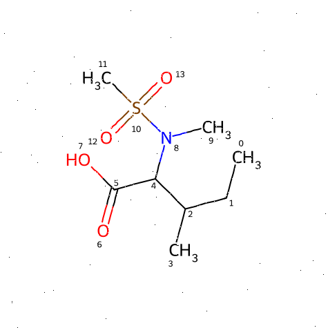 CCC(C)C(C(=O)O)N(C)S(C)(=O)=O